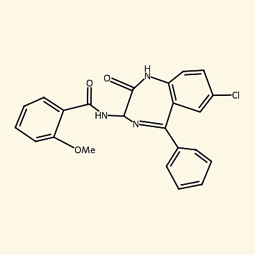 COc1ccccc1C(=O)NC1N=C(c2ccccc2)c2cc(Cl)ccc2NC1=O